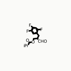 CC(C)C(=O)OCC(C=O)Cc1cc(F)c(F)cc1F